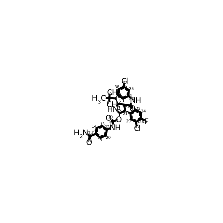 CC(C)(C)C[C@@H]1N[C@H](OC(=O)Nc2ccc(C(N)=O)cc2)[C@H](c2ccc(F)c(Cl)c2)[C@]12C(=O)Nc1cc(Cl)ccc12